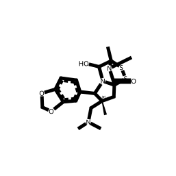 CN(C)C[C@@]1(C)CC23SSC(C)(C(O)N2C1c1ccc2c(c1)OCO2)N(C)C3=O